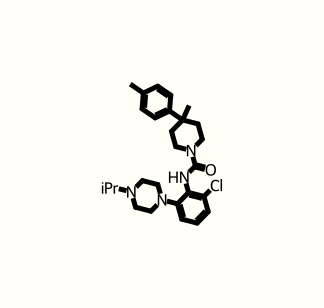 Cc1ccc(C2(C)CCN(C(=O)Nc3c(Cl)cccc3N3CCN(C(C)C)CC3)CC2)cc1